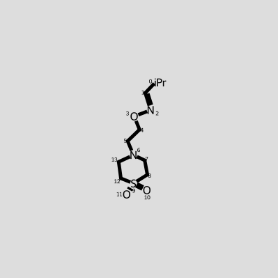 CC(C)/C=N/OCCN1CCS(=O)(=O)CC1